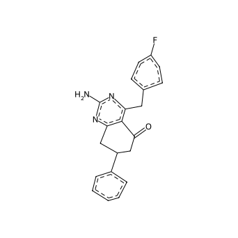 Nc1nc(Cc2ccc(F)cc2)c2c(n1)CC(c1ccccc1)CC2=O